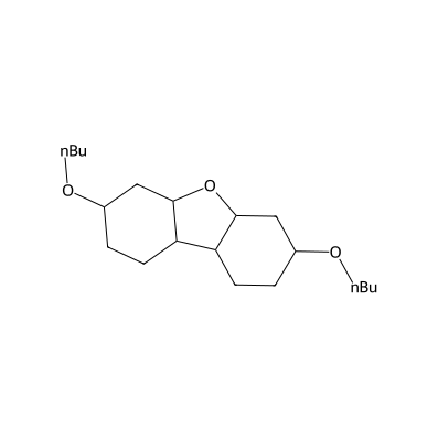 CCCCOC1CCC2C(C1)OC1CC(OCCCC)CCC12